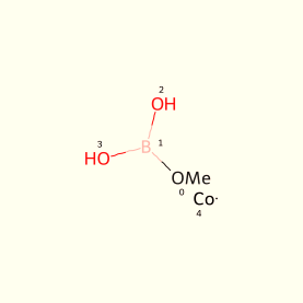 COB(O)O.[Co]